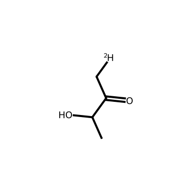 [2H]CC(=O)C(C)O